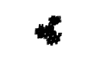 C#Cc1c(F)ccc2cccc(C3C(F)=c4nc(OCC56CCCN5CCC6)nc5c4=C3CC[C@@H]3[C@@H]4CC[C@H](CN53)N4)c12